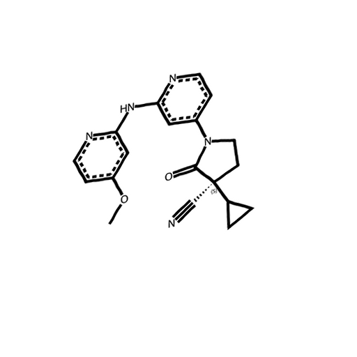 COc1ccnc(Nc2cc(N3CC[C@@](C#N)(C4CC4)C3=O)ccn2)c1